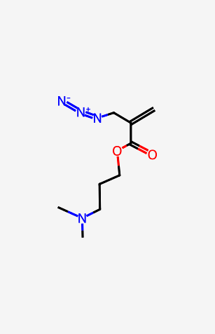 C=C(CN=[N+]=[N-])C(=O)OCCCN(C)C